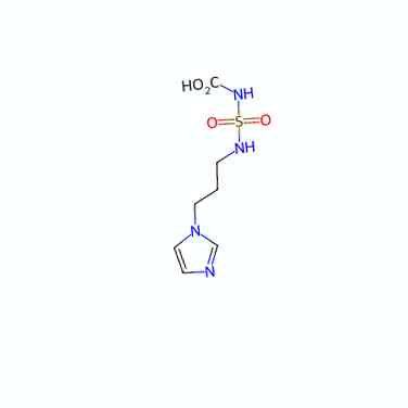 O=C(O)NS(=O)(=O)NCCCn1ccnc1